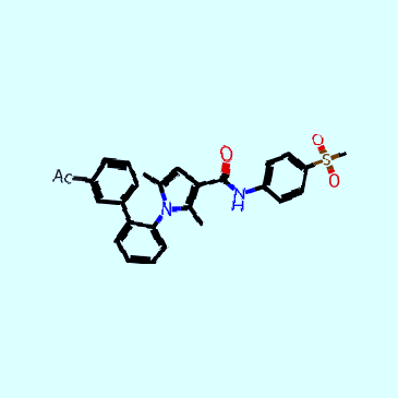 CC(=O)c1cccc(-c2ccccc2-n2c(C)cc(C(=O)Nc3ccc(S(C)(=O)=O)cc3)c2C)c1